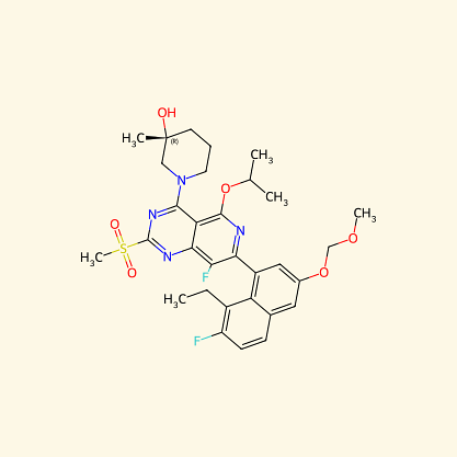 CCc1c(F)ccc2cc(OCOC)cc(-c3nc(OC(C)C)c4c(N5CCC[C@@](C)(O)C5)nc(S(C)(=O)=O)nc4c3F)c12